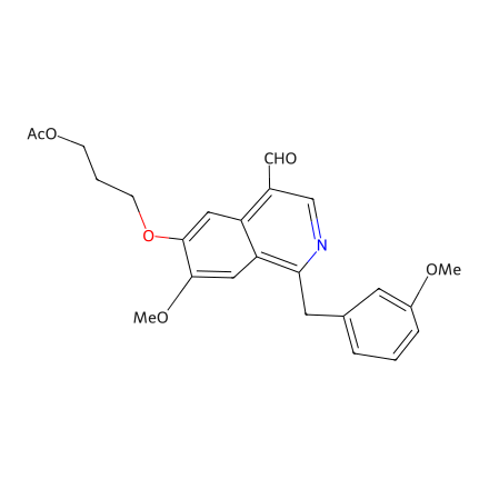 COc1cccc(Cc2ncc(C=O)c3cc(OCCCOC(C)=O)c(OC)cc23)c1